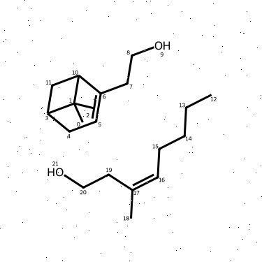 CC1(C)C2CC=C(CCO)C1C2.CCCC/C=C(/C)CCO